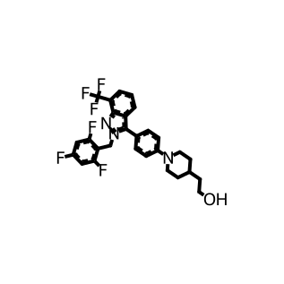 OCCC1CCN(c2ccc(-c3c4cccc(C(F)(F)F)c4nn3Cc3c(F)cc(F)cc3F)cc2)CC1